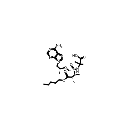 CCCCCOC(=O)[C@@H](C)N(C)[P@](=O)(CO[C@H](C)Cn1cnc2c(N)ncnc21)NC(C)(C)C(=O)O